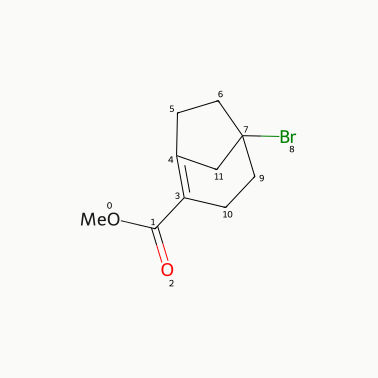 COC(=O)C1=C2CCC(Br)(CC1)C2